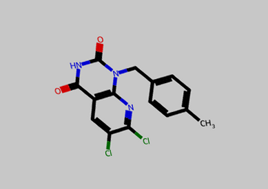 Cc1ccc(Cn2c(=O)[nH]c(=O)c3cc(Cl)c(Cl)nc32)cc1